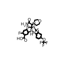 CN1c2cc(F)c(C(=O)O)cc2NC1(Nc1nc2ccc(OC(F)(F)F)cc2s1)C(C(N)=O)N1CCOCC1